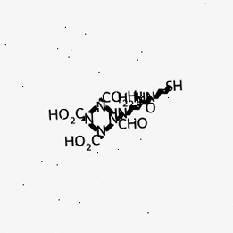 N[C@H](CCCNC(C=O)N1CCN(CC(=O)O)CCN(CC(=O)O)CCN(CC(=O)O)CC1)C(=O)NCCCS